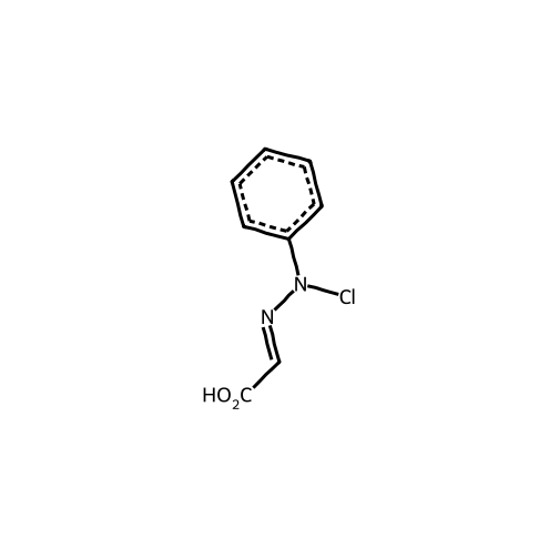 O=C(O)C=NN(Cl)c1ccccc1